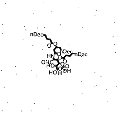 CCCCCCCCCCCCCC(=O)OC(CCCCCCCCCCC)CC(=O)N[C@@H](C=O)[C@@H](OC(=O)CCCCCCCCCCCCC)[C@H](OP(=O)(O)O)[C@H](O)CO